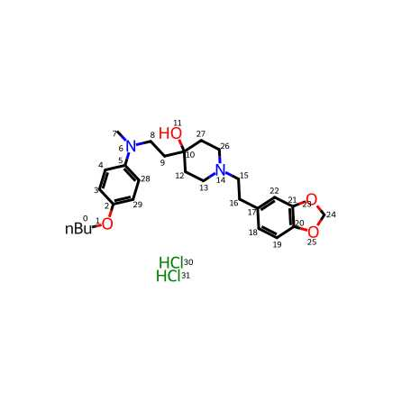 CCCCOc1ccc(N(C)CCC2(O)CCN(CCc3ccc4c(c3)OCO4)CC2)cc1.Cl.Cl